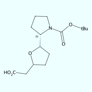 CC(C)(C)OC(=O)N1CCC[C@H]1C1CCC(CC(=O)O)O1